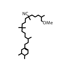 COCC(C)CCCC(C)(C#N)CCCC(C)(C)CCCC(C)CCC1=CCC(C)C(C)C1